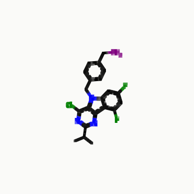 CC(C)c1nc(Cl)c2c(n1)c1c(F)cc(F)cc1n2Cc1ccc(CP)cc1